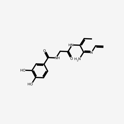 C=C/N=C(N)\C(=C/C)NC(=O)CNC(=O)c1ccc(O)c(O)c1